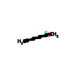 C=C[C@H]1CC[C@H](CCCCc2ccc(CCCCc3ccc(CCCCc4ccc(COCCC)c(F)c4)cc3)cc2)CC1